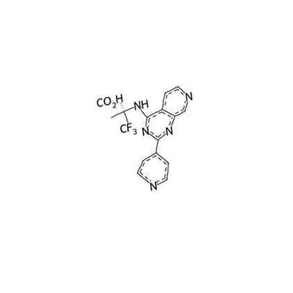 C[C@](Nc1nc(-c2ccncc2)nc2cnccc12)(C(=O)O)C(F)(F)F